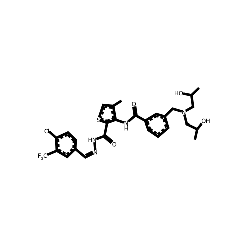 Cc1csc(C(=O)N/N=C\c2ccc(Cl)c(C(F)(F)F)c2)c1NC(=O)c1cccc(CN(CC(C)O)CC(C)O)c1